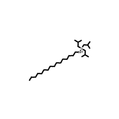 CCCCCCCCCCCCCCCCN[Si](CC(C)C)(CC(C)C)CC(C)C